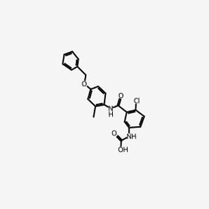 Cc1cc(OCc2ccccc2)ccc1NC(=O)c1cc(NC(=O)O)ccc1Cl